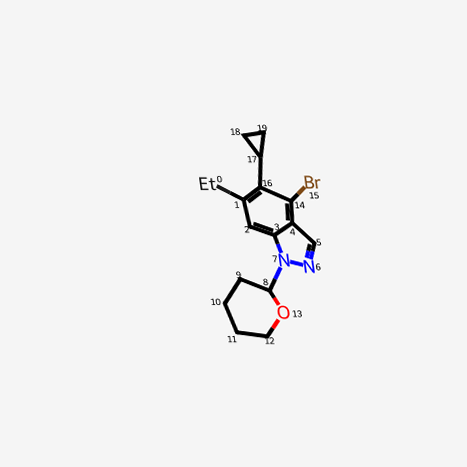 CCc1cc2c(cnn2C2CCCCO2)c(Br)c1C1CC1